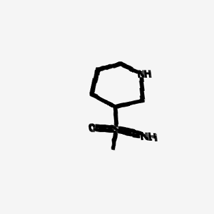 CS(=N)(=O)C1CCCNC1